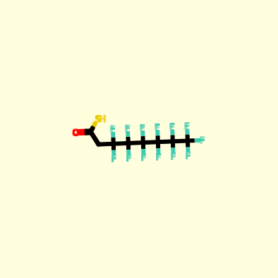 O=C(S)CC(F)(F)C(F)(F)C(F)(F)C(F)(F)C(F)(F)C(F)(F)F